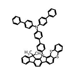 CC1(C)c2ccccc2-c2ccc3c4ccc5c(c4n(-c4ccc(-c6ccc(N(c7ccc(-c8ccccc8)cc7)c7ccc(-c8ccccc8)cc7)cc6)cc4)c3c21)Sc1ccccc1S5